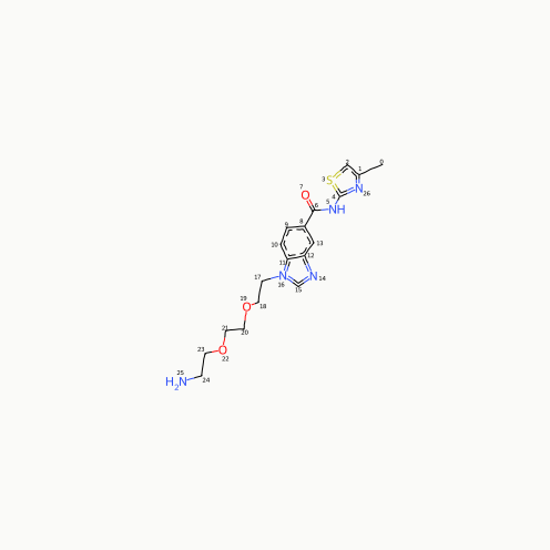 Cc1csc(NC(=O)c2ccc3c(c2)ncn3CCOCCOCCN)n1